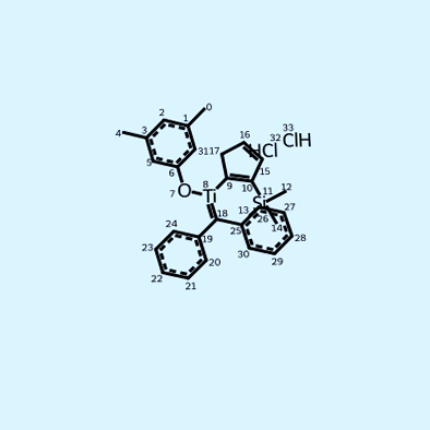 Cc1cc(C)cc([O][Ti]([C]2=C([Si](C)(C)C)C=CC2)=[C](c2ccccc2)c2ccccc2)c1.Cl.Cl